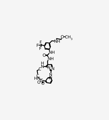 COCCNCc1cc(NC(=O)NCc2cnc3nc2NCCCNS(=O)(=O)c2cccc(c2)N3)cc(C(F)(F)F)c1